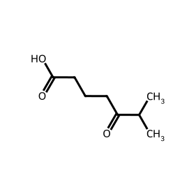 CC(C)C(=O)CCCC(=O)O